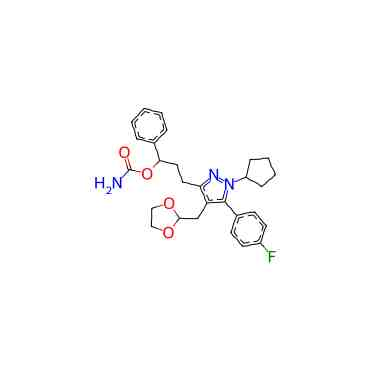 NC(=O)OC(CCc1nn(C2CCCC2)c(-c2ccc(F)cc2)c1CC1OCCO1)c1ccccc1